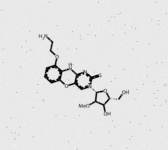 COC1C(O)[C@@H](CO)O[C@H]1n1cc2c(nc1=S)Nc1c(OCCN)cccc1O2